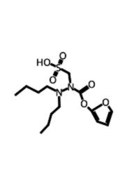 CCCCN(CCCC)N(CS(=O)(=O)O)C(=O)Oc1ccco1